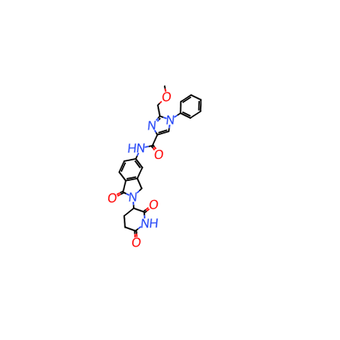 COCc1nc(C(=O)Nc2ccc3c(c2)CN(C2CCC(=O)NC2=O)C3=O)cn1-c1ccccc1